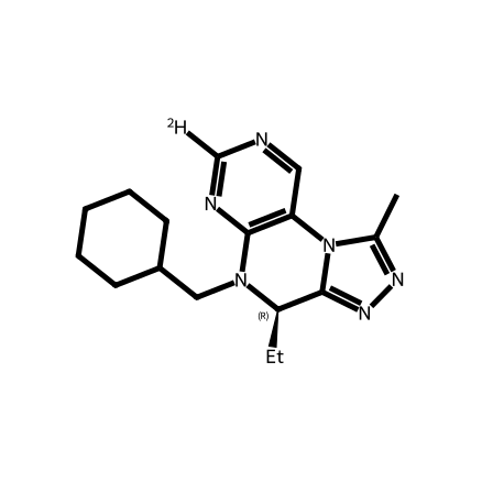 [2H]c1ncc2c(n1)N(CC1CCCCC1)[C@H](CC)c1nnc(C)n1-2